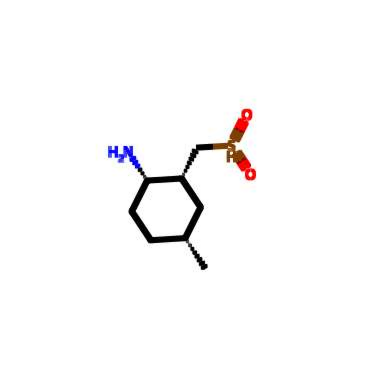 C[C@@H]1CC[C@H](N)[C@H](C[SH](=O)=O)C1